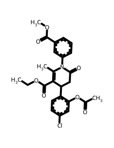 CCOC(=O)C1=C(C)N(c2cccc(C(=O)OC)c2)C(=O)CC1c1ccc(Cl)cc1OC(C)=O